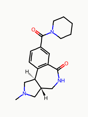 CN1C[C@H]2CNC(=O)c3cc(C(=O)N4CCCCC4)ccc3[C@@H]2C1